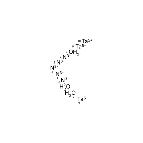 O.O.O.[N-3].[N-3].[N-3].[N-3].[N-3].[Ta+5].[Ta+5].[Ta+5]